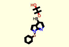 CC(C)(O)C(C)(C)OBc1ccnc2c1ccn2Sc1ccccc1